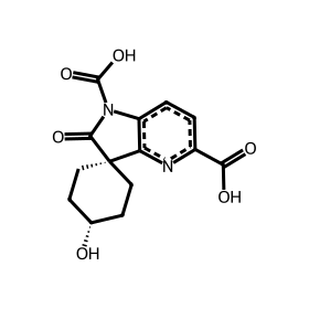 O=C(O)c1ccc2c(n1)[C@]1(CC[C@@H](O)CC1)C(=O)N2C(=O)O